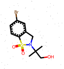 CC(C)(CO)N1Cc2cc(Br)ccc2S1(=O)=O